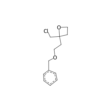 ClCC1(CCOCc2ccccc2)CCO1